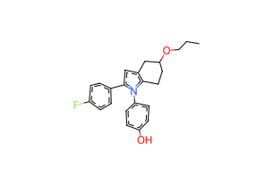 CCCOC1CCc2c(cc(-c3ccc(F)cc3)n2-c2ccc(O)cc2)C1